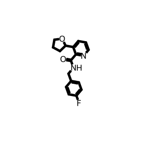 O=C(NCc1ccc(F)cc1)c1ncccc1C1CCCO1